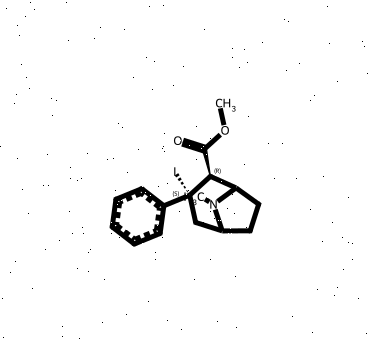 COC(=O)[C@H]1C2CCC(C[C@@]1(I)c1ccccc1)N2C